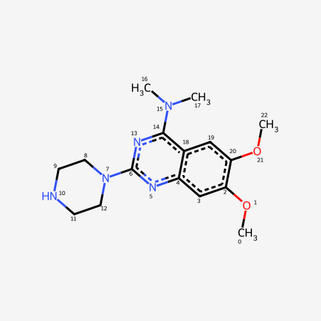 COc1cc2nc(N3CCNCC3)nc(N(C)C)c2cc1OC